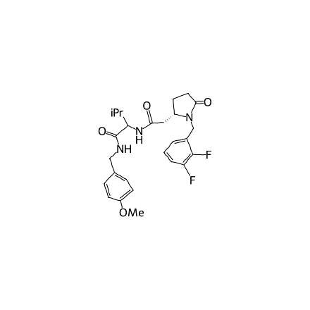 COc1ccc(CNC(=O)C(NC(=O)C[C@@H]2CCC(=O)N2Cc2cccc(F)c2F)C(C)C)cc1